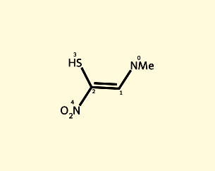 CNC=C(S)[N+](=O)[O-]